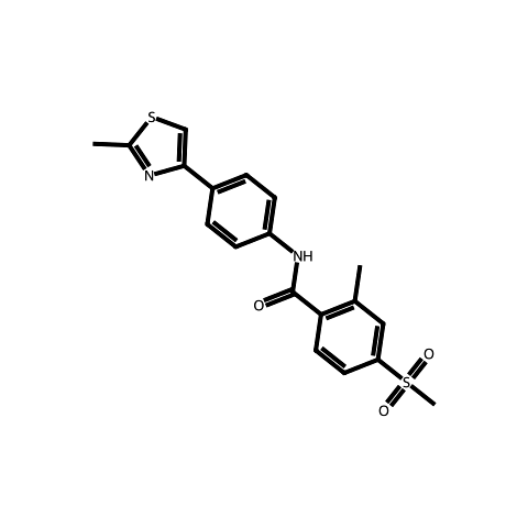 Cc1nc(-c2ccc(NC(=O)c3ccc(S(C)(=O)=O)cc3C)cc2)cs1